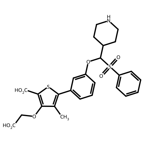 Cc1c(-c2cccc(OC(C3CCNCC3)S(=O)(=O)c3ccccc3)c2)sc(C(=O)O)c1OCC(=O)O